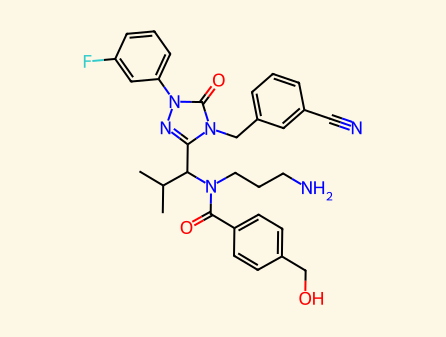 CC(C)C(c1nn(-c2cccc(F)c2)c(=O)n1Cc1cccc(C#N)c1)N(CCCN)C(=O)c1ccc(CO)cc1